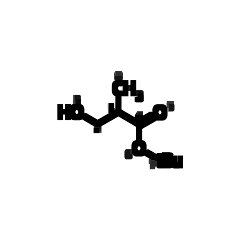 CC(CO)C(=O)OC(C)(C)C